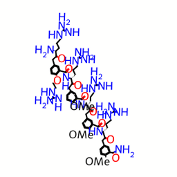 COc1ccc(CC(=O)[C@@H](CCCNC(=N)N)NC(=O)c2cc(CC(=O)[C@@H](CCCNC(=N)N)NC(=O)c3cc(CC(=O)[C@@H](CCCNC(=N)N)NC(=O)c4cc(CC(=O)[C@H](N)CCCNC(=N)N)ccc4OCCNC(=N)N)ccc3OC)ccc2OC)cc1C(N)=O